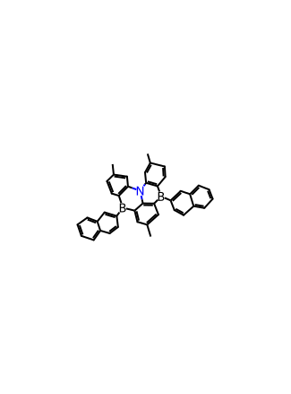 Cc1cc2c3c(c1)B(c1ccc4ccccc4c1)c1ccc(C)cc1N3c1cc(C)ccc1B2c1ccc2ccccc2c1